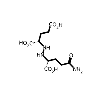 NC(=O)CC[C@@H](NN[C@@H](CCC(=O)O)C(=O)O)C(=O)O